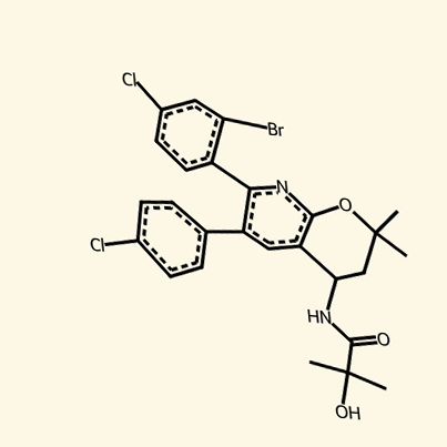 CC1(C)CC(NC(=O)C(C)(C)O)c2cc(-c3ccc(Cl)cc3)c(-c3ccc(Cl)cc3Br)nc2O1